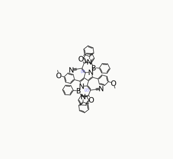 COc1ccc(-c2c3/c(=C(\C#N)c4nc5ccccc5o4)n(B(c4ccccc4)c4ccccc4)c(-c4ccc(OC)cc4)c3/c(=C(\C#N)c3nc4ccccc4o3)n2B(c2ccccc2)c2ccccc2)cc1